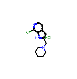 Cl.Clc1nccc2cc(CN3CCCCC3)[nH]c12